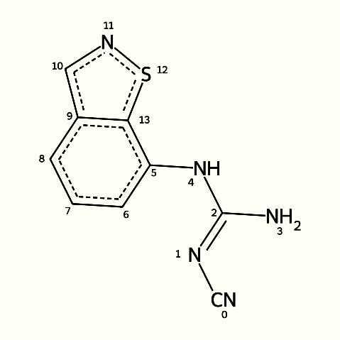 N#CN=C(N)Nc1cccc2cnsc12